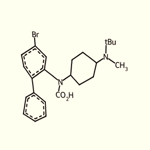 CN(C1CCC(N(C(=O)O)c2cc(Br)ccc2-c2ccccc2)CC1)C(C)(C)C